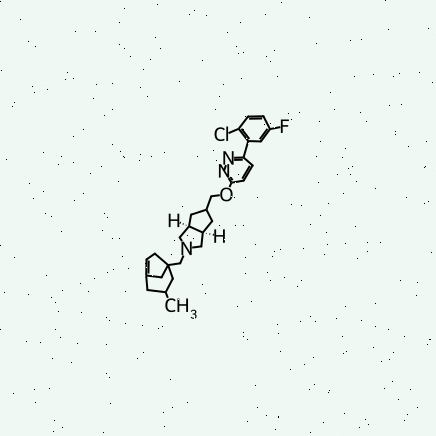 CC1CC2=CCC(CN3C[C@H]4CC(COc5ccc(-c6cc(F)ccc6Cl)nn5)C[C@H]4C3)(C2)C1